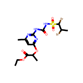 CCOC(=O)C(C)Oc1cc(C)nc(NC(=O)NS(=O)(=O)C(Br)C(C)Br)n1